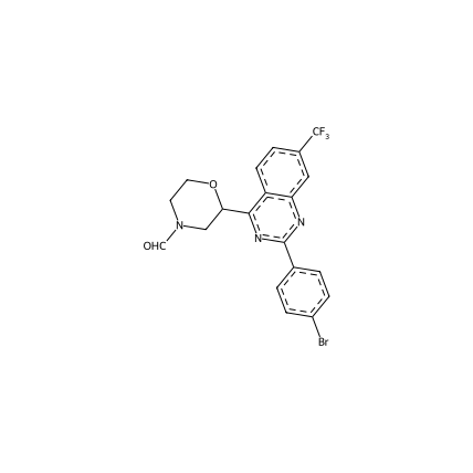 O=CN1CCOC(c2nc(-c3ccc(Br)cc3)nc3cc(C(F)(F)F)ccc23)C1